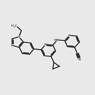 CCn1cnc2ccc(-c3cc(C4CC4)cc(Nc4cc(C#N)ccn4)n3)cc21